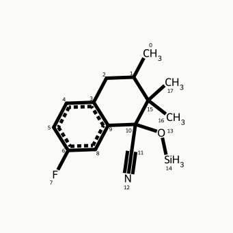 CC1Cc2ccc(F)cc2C(C#N)(O[SiH3])C1(C)C